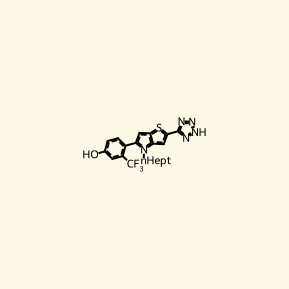 CCCCCCCn1c(-c2ccc(O)cc2C(F)(F)F)cc2sc(-c3nn[nH]n3)cc21